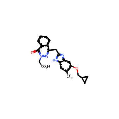 O=C(O)Cn1nc(Cc2nc3cc(OCC4CC4)c(C(F)(F)F)cc3[nH]2)c2ccccc2c1=O